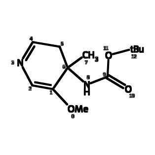 COC1=CN=CCC1(C)NC(=O)OC(C)(C)C